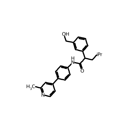 Cc1cc(-c2ccc(NC(=O)C(CC(C)C)c3cccc(CO)c3)cc2)ccn1